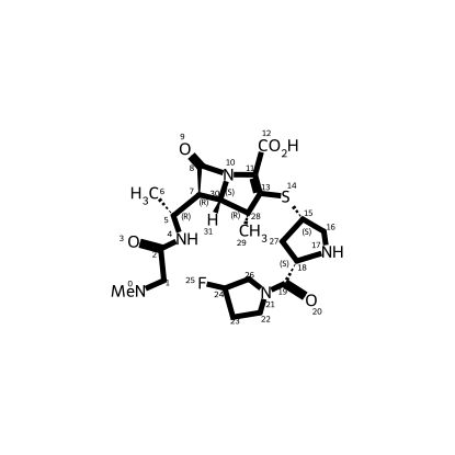 CNCC(=O)N[C@H](C)[C@H]1C(=O)N2C(C(=O)O)=C(S[C@@H]3CN[C@H](C(=O)N4CCC(F)C4)C3)[C@H](C)[C@H]12